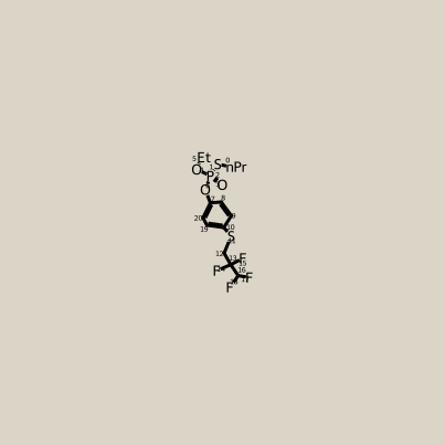 CCCSP(=O)(OCC)Oc1ccc(SCC(F)(F)C(F)F)cc1